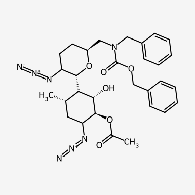 CC(=O)O[C@H]1C(N=[N+]=[N-])C[C@H](C)C([C@H]2O[C@H](CN(Cc3ccccc3)C(=O)OCc3ccccc3)CCC2N=[N+]=[N-])[C@@H]1O